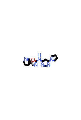 c1ccn(-c2cc(NC3=NC[C@@]4(CN5CCC4CC5)O3)ncn2)c1